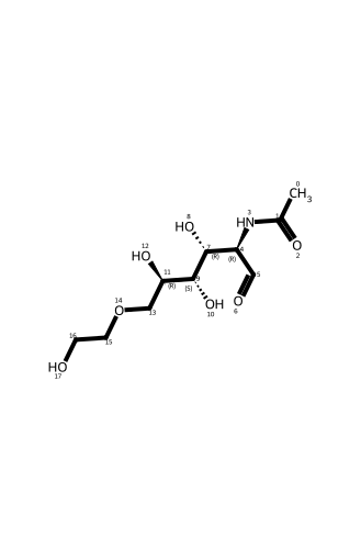 CC(=O)N[C@@H](C=O)[C@@H](O)[C@H](O)[C@H](O)COCCO